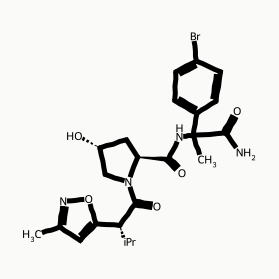 Cc1cc([C@H](C(=O)N2C[C@H](O)C[C@H]2C(=O)NC(C)(C(N)=O)c2ccc(Br)cc2)C(C)C)on1